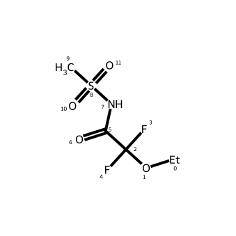 CCOC(F)(F)C(=O)NS(C)(=O)=O